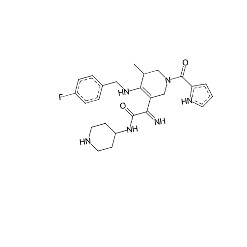 CC1CN(C(=O)c2ccc[nH]2)CC(C(=N)C(=O)NC2CCNCC2)=C1NCc1ccc(F)cc1